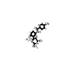 CC[C@H]1SC(N)=N[C@](C)(c2cc(NC(=O)c3ccc(C#N)cn3)ccc2F)[C@H]1F